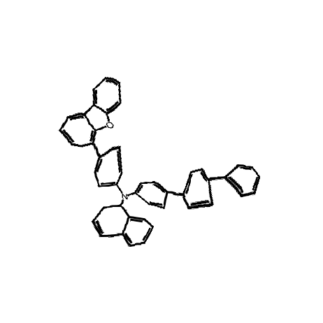 C1=Cc2ccccc2C(N(c2ccc(-c3ccc(-c4ccccc4)cc3)cc2)c2ccc(-c3cccc4c3oc3ccccc34)cc2)C1